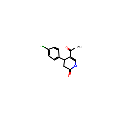 COC(=O)C1=CNC(=O)CC1c1ccc(Cl)cc1